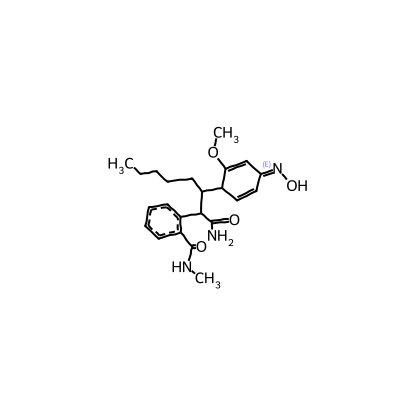 CCCCCC(C1C=C/C(=N\O)C=C1OC)C(C(N)=O)c1ccccc1C(=O)NC